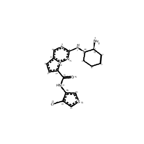 N[C@H]1CCCC[C@H]1Nc1ncc2ccc(C(=O)Nc3cscc3Cl)n2n1